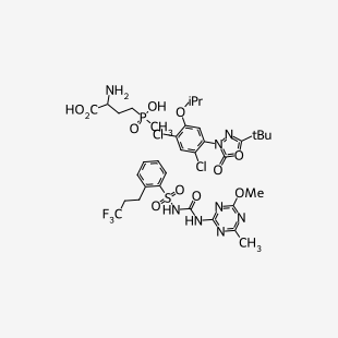 CC(C)Oc1cc(-n2nc(C(C)(C)C)oc2=O)c(Cl)cc1Cl.COc1nc(C)nc(NC(=O)NS(=O)(=O)c2ccccc2CCC(F)(F)F)n1.CP(=O)(O)CCC(N)C(=O)O